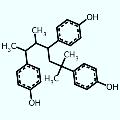 CC(c1ccc(O)cc1)C(C)C(CC(C)(C)c1ccc(O)cc1)c1ccc(O)cc1